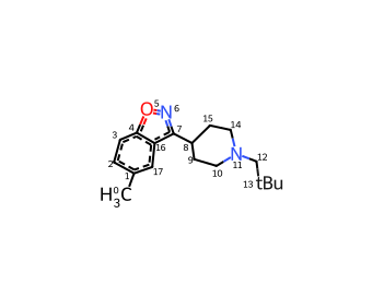 Cc1ccc2onc(C3CCN(CC(C)(C)C)CC3)c2c1